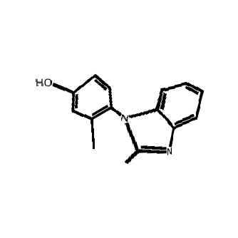 Cc1cc(O)ccc1-n1c(C)nc2ccccc21